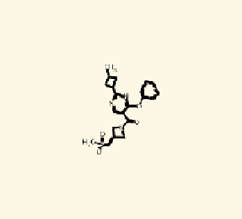 CC1CC(c2ncc(C(=O)N3CC(=CS(C)(=O)=O)C3)c(Oc3ccccc3)n2)C1